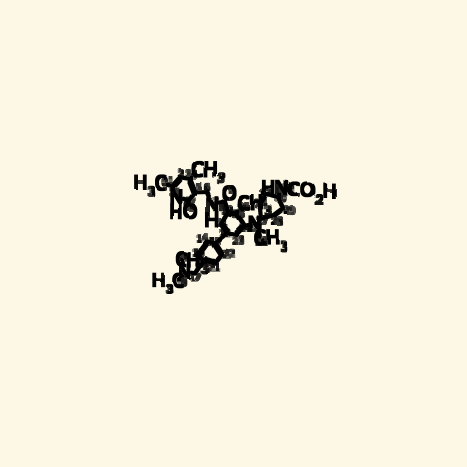 Cc1cc(C)c(CNC(=O)c2cc(-c3ccc(CN(C)C)cc3)cc(N(C)C3CCC(NC(=O)O)CC3)c2C)c(=O)[nH]1